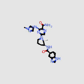 C[C@@H]1[C@H](NC(=O)c2ccc3[nH]cnc3c2)CCCN1c1cnc(C(N)=O)c(Nc2cnn(C)c2)n1